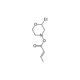 CC=CC(=O)ON1CCOC(CC)C1